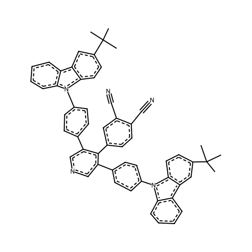 CC(C)(C)c1ccc2c(c1)c1ccccc1n2-c1ccc(-c2cncc(-c3ccc(-n4c5ccccc5c5cc(C(C)(C)C)ccc54)cc3)c2-c2ccc(C#N)c(C#N)c2)cc1